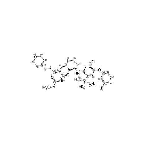 C=CC(=O)Nc1cc2c(Nc3cc(Cl)c(Oc4cccc(F)c4)cc3C(C)(C)O)ncnc2cc1OCCN1CCOCC1